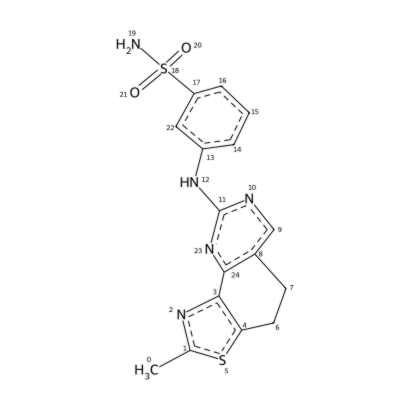 Cc1nc2c(s1)CCc1cnc(Nc3cccc(S(N)(=O)=O)c3)nc1-2